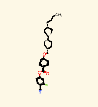 CCCC[C@H]1CC[C@H]([C@H]2CC[C@H](COc3ccc(C(=O)Oc4ccc(C#N)c(F)c4)cc3)CC2)CC1